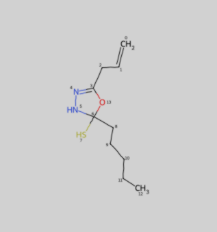 C=CCC1=NNC(S)(CCCCC)O1